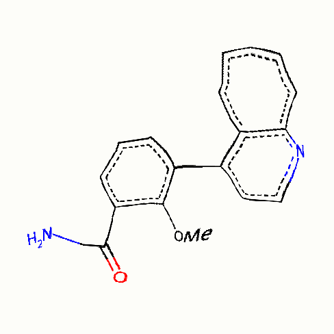 COc1c(C(N)=O)cccc1-c1ccnc2ccccc12